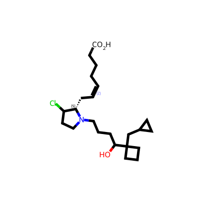 O=C(O)CCC/C=C\C[C@H]1C(Cl)CCN1CCCC(O)C1(CC2CC2)CCC1